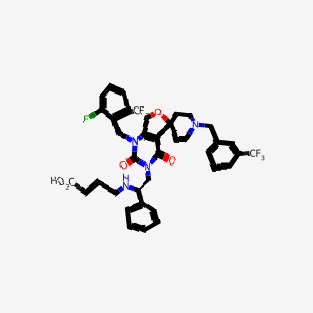 O=C(O)CCCN[C@@H](Cn1c(=O)c2c(n(Cc3c(F)cccc3C(F)(F)F)c1=O)COC21CCN(Cc2cccc(C(F)(F)F)c2)CC1)c1ccccc1